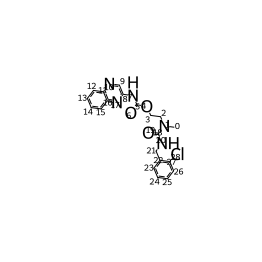 CN(CCOC(=O)Nc1cnc2ccccc2n1)C(=O)NCc1ccccc1Cl